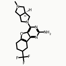 CN1CC2CN(c3nc(N)nc4c5c(oc34)CCC(C(F)(F)F)C5)C[C@@H]2C1